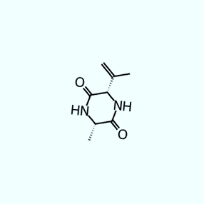 C=C(C)[C@@H]1NC(=O)[C@H](C)NC1=O